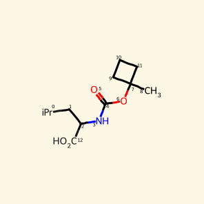 CC(C)CC(NC(=O)OC1(C)CCC1)C(=O)O